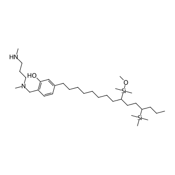 CCCC(CCC(CCCCCCCCc1ccc(CN(C)CCCNC)c(O)c1)[Si](C)(C)OC)[Si](C)(C)C